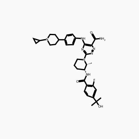 C[C@@H]1[C@H](NC(=O)c2ccc(C(C)(C)O)cc2F)CCCN1c1nnc(C(N)=O)c(Nc2ccc(C3CCN(C4CC4)CC3)cc2)n1